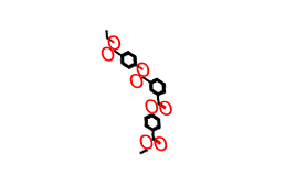 CCOC(=O)c1ccc(OC(=O)c2cccc(C(=O)Oc3ccc(C(=O)OCC)cc3)c2)cc1